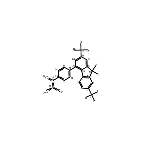 CC(C)(C)c1ccc2c(c1)C(C)(C)c1cc(C(C)(C)C)cc(-c3ccc(P(=O)=S(=S)=S)cc3)c1-2